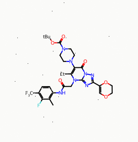 CCc1c(N2CCN(C(=O)OC(C)(C)C)CC2)c(=O)n2nc(C3=COCCO3)nc2n1CC(=O)Nc1ccc(C(F)(F)F)c(F)c1C